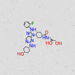 O=C(NC[C@@H](O)CO)[C@H]1CC[C@@H](n2c(Nc3ccccc3F)nc3cnc(N[C@H]4CC[C@H](O)CC4)nc32)CC1